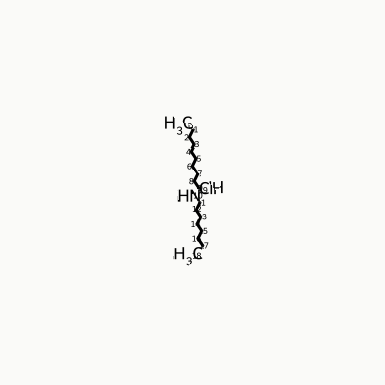 CCCCCCCCCCNCCCCCCCC.Cl